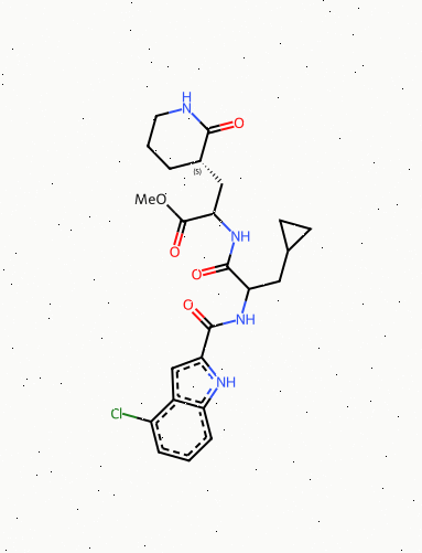 COC(=O)C(C[C@@H]1CCCNC1=O)NC(=O)C(CC1CC1)NC(=O)c1cc2c(Cl)cccc2[nH]1